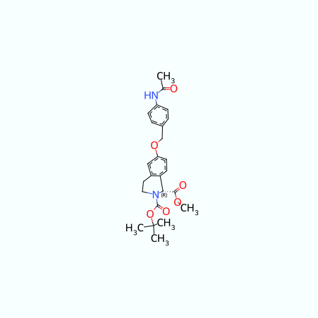 COC(=O)[C@H]1c2ccc(OCc3ccc(NC(C)=O)cc3)cc2CCN1C(=O)OC(C)(C)C